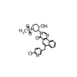 CS(=O)(=O)N1CC[C@H](O)[C@@H](n2cnc3c(cc(Cc4ccc(Cl)nc4)c4ccccc43)c2=O)C1